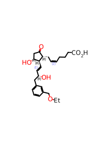 CCOCc1cccc(C[C@@H](O)/C=C/[C@H]2[C@H](O)CC(=O)[C@@H]2C/C=C\CCCC(=O)O)c1